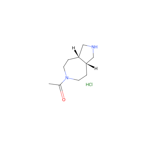 CC(=O)N1CC[C@@H]2CNC[C@@H]2CC1.Cl